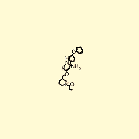 C=CC(=O)N1CCCC(COC2=CC(N)(c3ccc(Oc4ccccc4)cc3)NC=N2)C1